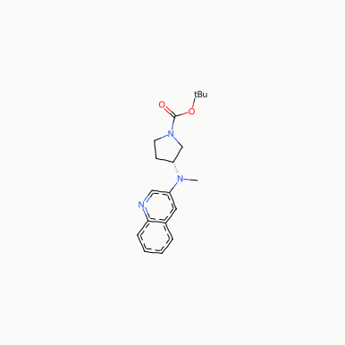 CN(c1cnc2ccccc2c1)[C@@H]1CCN(C(=O)OC(C)(C)C)C1